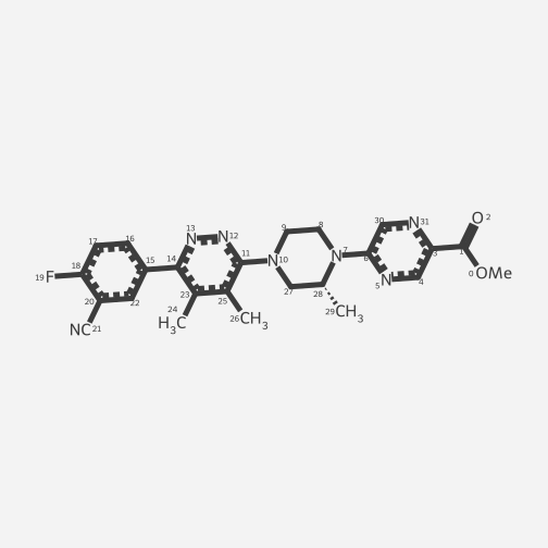 COC(=O)c1cnc(N2CCN(c3nnc(-c4ccc(F)c(C#N)c4)c(C)c3C)C[C@H]2C)cn1